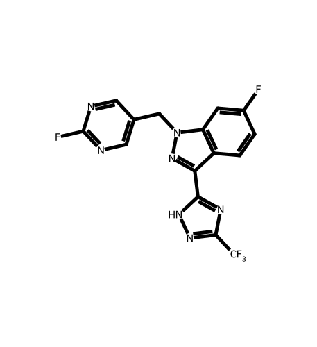 Fc1ccc2c(-c3nc(C(F)(F)F)n[nH]3)nn(Cc3cnc(F)nc3)c2c1